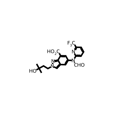 CC(C)(O)CCn1cc2cc(N(C=O)c3cccc(C(F)(F)F)n3)cc(C(=O)O)c2n1